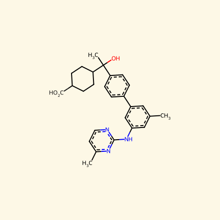 Cc1cc(Nc2nccc(C)n2)cc(-c2ccc(C(C)(O)C3CCC(C(=O)O)CC3)cc2)c1